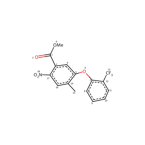 COC(=O)c1cc(Oc2ccccc2C(F)(F)F)c(C)cc1[N+](=O)[O-]